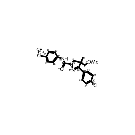 COCC1(C)CN(C(=O)Nc2ccc(OC(F)(F)F)cc2)N=C1c1ccc(Cl)cc1